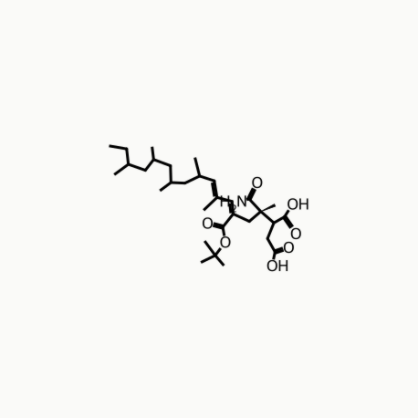 CCC(C)CC(C)CC(C)CC(C)/C=C(C)/C=C(/C[C@](C)(C(N)=O)C(CC(=O)O)C(=O)O)C(=O)OC(C)(C)C